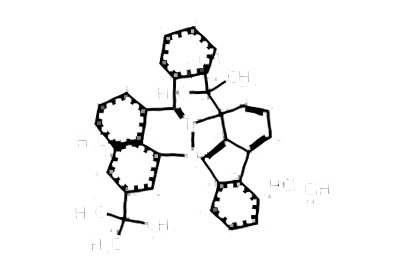 Cc1cc([O][Ti](=[C](c2ccccc2)c2ccccc2)[C]2(C(C)(C)C)C=CC=C3C2=Cc2ccccc23)cc(C(C)(C)C)c1.Cl.Cl